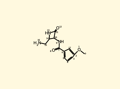 COc1cccc(C(=O)NC2C(=O)NC2CN)c1